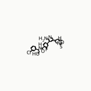 Nc1ncc([C@H]2C[C@H]3COC(=S)N3C2)cc1-c1ccc(C(=O)NC(CO)c2cccc(Cl)c2)c(F)c1